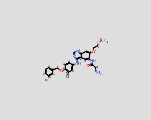 COCCOc1cc2ncnc(Nc3ccc(OCc4cccc(F)c4)c(Cl)c3)c2cc1NC(=O)CN